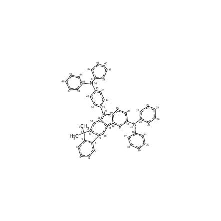 CC1(C)c2ccccc2-c2cc3c4cc(N(c5ccccc5)c5ccccc5)ccc4n(-c4ccc(N(c5ccccc5)c5ccccc5)cc4)c3cc21